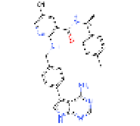 Cc1ccc([C@H](C)NC(=O)c2cc(C#N)cnc2NCc2ccc(-c3c[nH]c4ncnc(N)c34)cc2)cc1